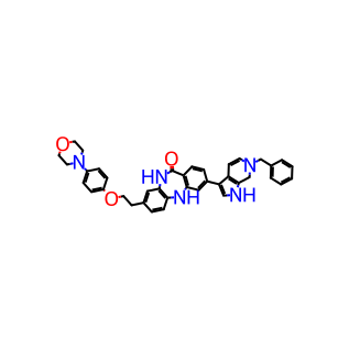 O=C1Nc2cc(CCOc3ccc(N4CCOCC4)cc3)ccc2Nc2cc(-c3c[nH]c4c3C=CN(Cc3ccccc3)C4)ccc21